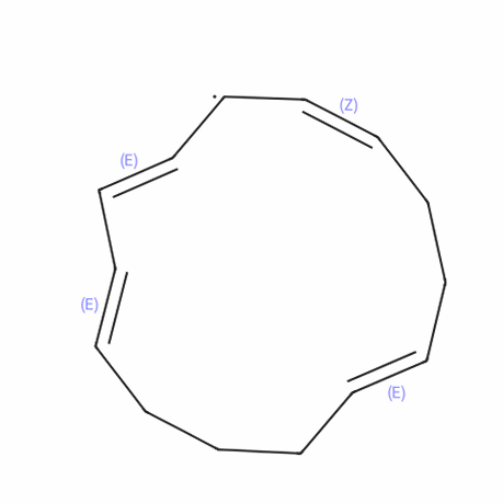 [CH]1/C=C\CC/C=C/CCC/C=C/C=C/1